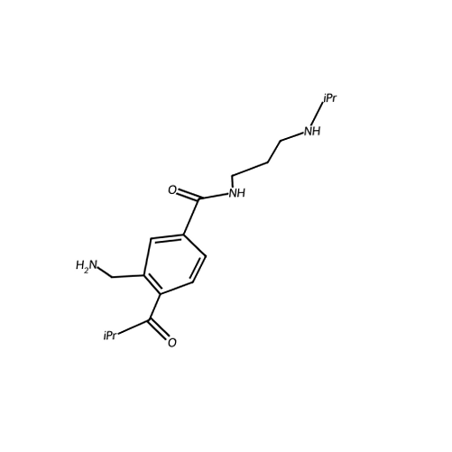 CC(C)NCCCNC(=O)c1ccc(C(=O)C(C)C)c(CN)c1